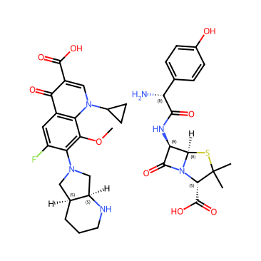 CC1(C)S[C@@H]2[C@H](NC(=O)[C@H](N)c3ccc(O)cc3)C(=O)N2[C@H]1C(=O)O.COc1c(N2C[C@@H]3CCCN[C@@H]3C2)c(F)cc2c(=O)c(C(=O)O)cn(C3CC3)c12